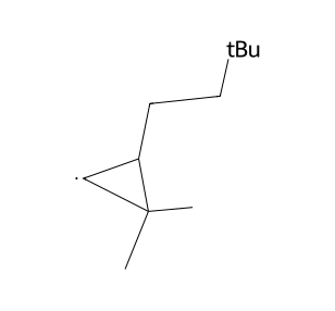 CC(C)(C)CCC1[CH]C1(C)C